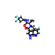 CC(C)[C@H](C(=O)NC1CC(F)(F)C1)N1Cc2c(F)cnc3[nH]cc(c23)C1=O